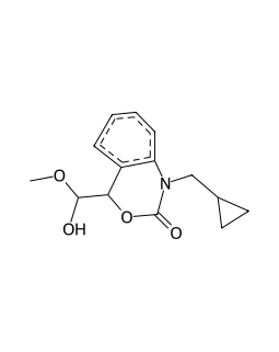 COC(O)C1OC(=O)N(CC2CC2)c2ccccc21